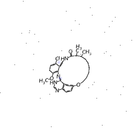 COC1=C2/N=C3/NC=Nc4ccc(cc43)OCCCCCCC(C)C(C)C(=O)N/C=C\2C(Cl)=CC1